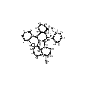 Cc1ccccc1-c1c2c(c(-c3ccccc3C)c3ccccc13)-c1ccc(Br)c3cccc-2c13